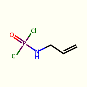 C=CCNP(=O)(Cl)Cl